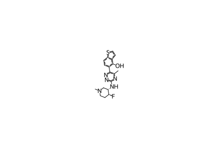 Cc1nc(N[C@H]2CN(C)CC[C@@H]2F)nnc1-c1ccc2sccc2c1O